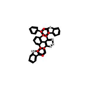 c1ccc(-c2ccccc2-c2cccc(-c3cccc4c3[nH]c3ccccc34)c2-c2c(-c3ccccc3)nnnc2-c2cccc3sc4ccccc4c23)cc1